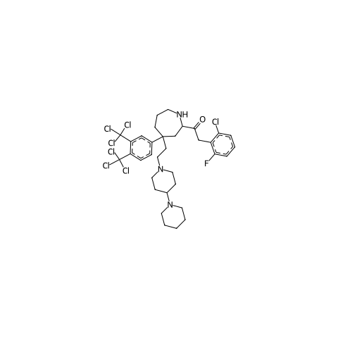 O=C(Cc1c(F)cccc1Cl)C1CC(CCN2CCC(N3CCCCC3)CC2)(c2ccc(C(Cl)(Cl)Cl)c(C(Cl)(Cl)Cl)c2)CCCN1